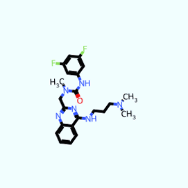 CN(C)CCCNc1nc(CN(C)C(=O)Nc2cc(F)cc(F)c2)nc2ccccc12